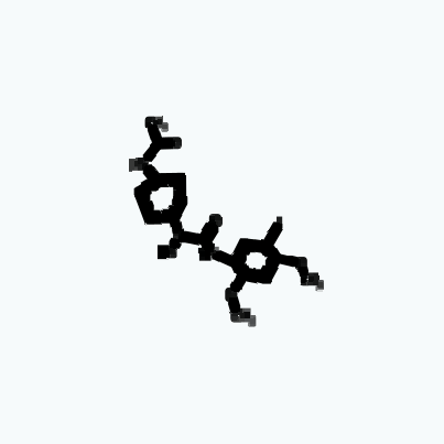 COc1cc(OC)c(NC(=O)N(S)c2ccc(NC(C)=O)cc2)cc1I